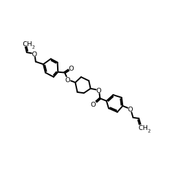 C=CCOc1ccc(C(=O)OC2CCC(OC(=O)c3ccc(COC=C)cc3)CC2)cc1